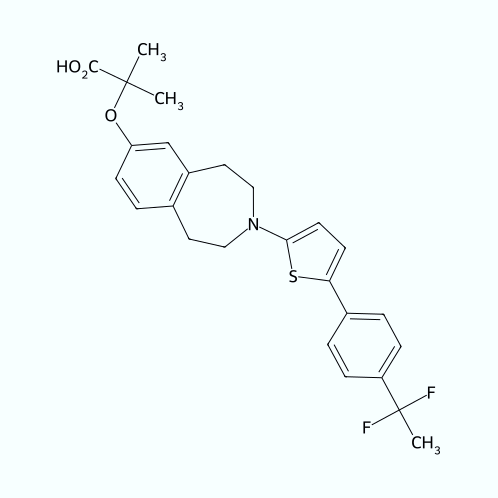 CC(C)(Oc1ccc2c(c1)CCN(c1ccc(-c3ccc(C(C)(F)F)cc3)s1)CC2)C(=O)O